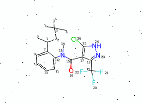 CC(CC(C)(C)C)c1ccccc1N(C)C(=O)c1c(C(F)(F)F)n[nH]c1Cl